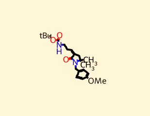 COc1ccc(CN2C(=O)/C(=C\CCNC(=O)OC(C)(C)C)CC2(C)C)cc1